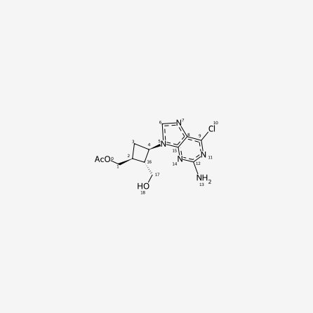 CC(=O)OC[C@H]1C[C@@H](n2cnc3c(Cl)nc(N)nc32)[C@@H]1CO